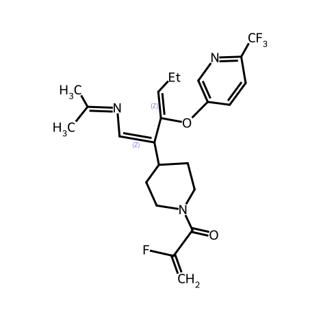 C=C(F)C(=O)N1CCC(C(=C/N=C(C)C)/C(=C/CC)Oc2ccc(C(F)(F)F)nc2)CC1